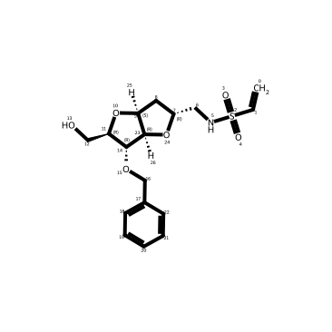 C=CS(=O)(=O)NC[C@H]1C[C@@H]2O[C@H](CO)[C@@H](OCc3ccccc3)[C@@H]2O1